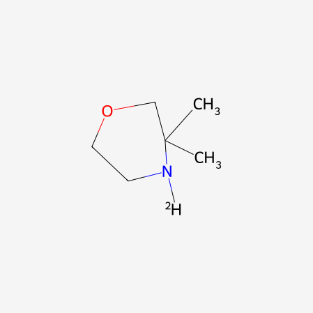 [2H]N1CCOCC1(C)C